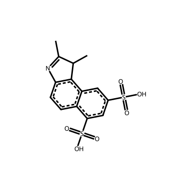 CC1=Nc2ccc3c(S(=O)(=O)O)cc(S(=O)(=O)O)cc3c2C1C